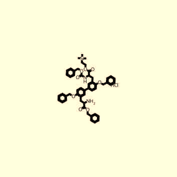 C[Si](C)(C)CCOC(=O)C(Cc1cc(-c2ccc(OCc3ccccc3)c(CC(N)C(=O)OCc3ccccc3)c2)ccc1OCc1ccccc1)NC(=O)OCc1ccccc1.Cl